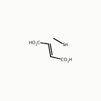 O=C(O)C=CC(=O)O.[CH3][Sn]